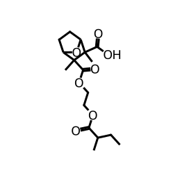 CCC(C)C(=O)OCCOC(=O)C1(C)C2CCC(O2)C1(C)C(=O)O